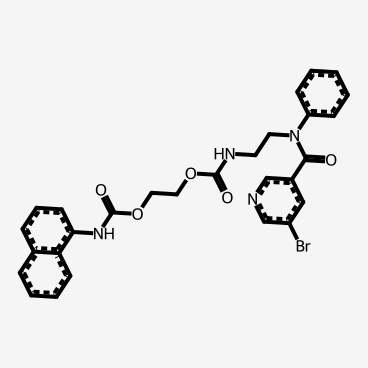 O=C(NCCN(C(=O)c1cncc(Br)c1)c1ccccc1)OCCOC(=O)Nc1cccc2ccccc12